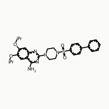 CC(C)Oc1cc2nc(N3CCN(S(=O)(=O)c4ccc(-c5ccccc5)cc4)CC3)nc(N)c2cc1OC(C)C